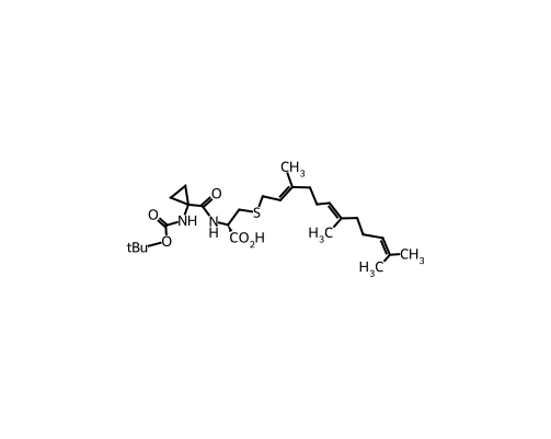 CC(C)=CCC/C(C)=C/CC/C(C)=C/CSC[C@H](NC(=O)C1(NC(=O)OC(C)(C)C)CC1)C(=O)O